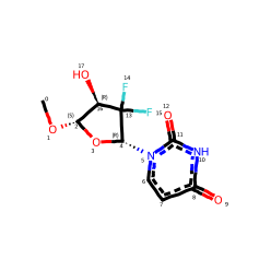 CO[C@H]1O[C@@H](n2ccc(=O)[nH]c2=O)C(F)(F)[C@@H]1O